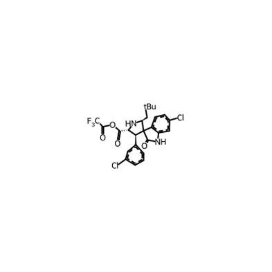 CC(C)(C)C[C@@H]1N[C@@H](C(=O)OC(=O)C(F)(F)F)[C@H](c2cccc(Cl)c2)C12C(=O)Nc1cc(Cl)ccc12